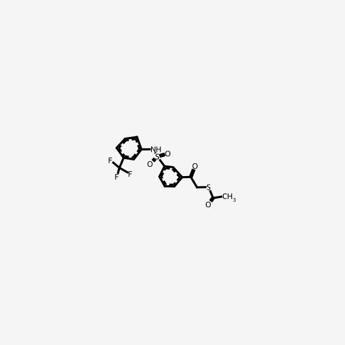 CC(=O)SCC(=O)c1cccc(S(=O)(=O)Nc2cccc(C(F)(F)F)c2)c1